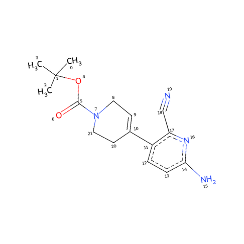 CC(C)(C)OC(=O)N1CC=C(c2ccc(N)nc2C#N)CC1